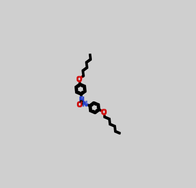 CCCCCCOc1ccc(-n2on2-c2ccc(OCCCCCC)cc2)cc1